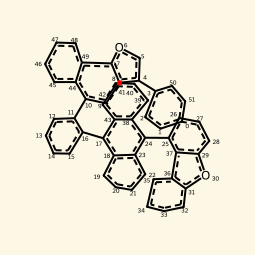 c1ccc(-c2coc3c2cc(-c2ccccc2-c2c4ccccc4c(-c4cccc5oc6ccccc6c45)c4ccccc24)c2ccccc23)cc1